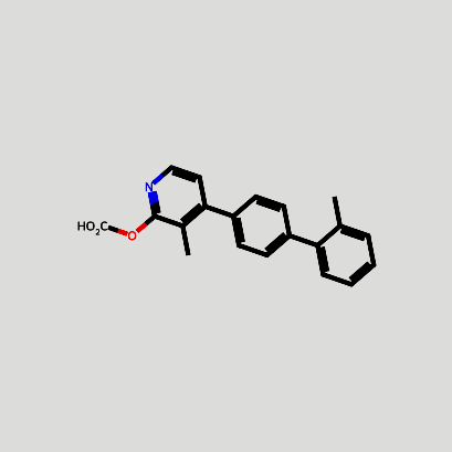 Cc1ccccc1-c1ccc(-c2ccnc(OC(=O)O)c2C)cc1